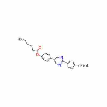 CCCCCc1ccc(-c2ncc(-c3ccc(OC(=O)CCCCC(C)CC)cc3)cn2)cc1